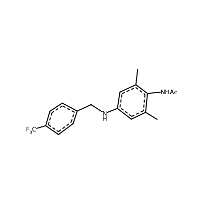 CC(=O)Nc1c(C)cc(NCc2ccc(C(F)(F)F)cc2)cc1C